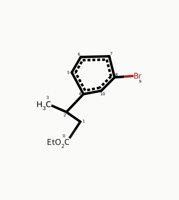 CCOC(=O)CC(C)c1cccc(Br)c1